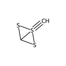 C#S12SC1S2